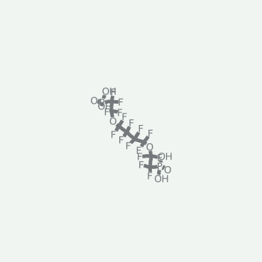 O=P(O)(O)C(F)(F)C(F)(F)OC(F)(F)C(F)(F)C(F)(F)C(F)(F)OC(F)(F)C(F)(F)P(=O)(O)O